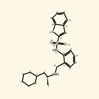 C[C@@H](CC1CCCCC1)NCc1ccccc1NS(=O)(=O)c1cc2ccccc2s1